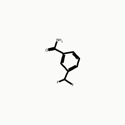 NC(=O)c1cccc(C(F)F)c1